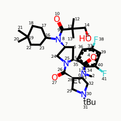 CCN(C)C(=O)[C@@H]1C[C@H](N(C(=O)C(C)(C)CO)C2CCC(C)(C)CC2)CN1C(=O)[C@@H]1CN(C(C)(C)C)C[C@H]1c1ccc(F)cc1F